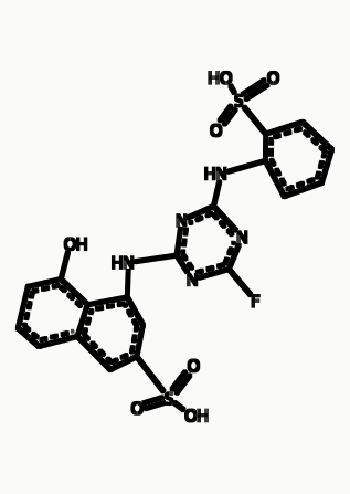 O=S(=O)(O)c1cc(Nc2nc(F)nc(Nc3ccccc3S(=O)(=O)O)n2)c2c(O)cccc2c1